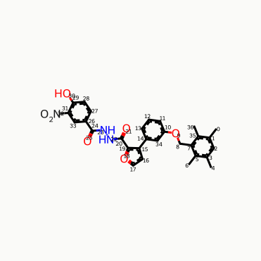 Cc1cc(C)c(C)c(COc2cccc(-c3ccoc3C(=O)NNC(=O)c3ccc(O)c([N+](=O)[O-])c3)c2)c1C